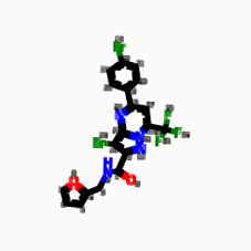 O=C(NCc1ccco1)c1nn2c(C(F)(F)F)cc(-c3ccc(Br)cc3)nc2c1Br